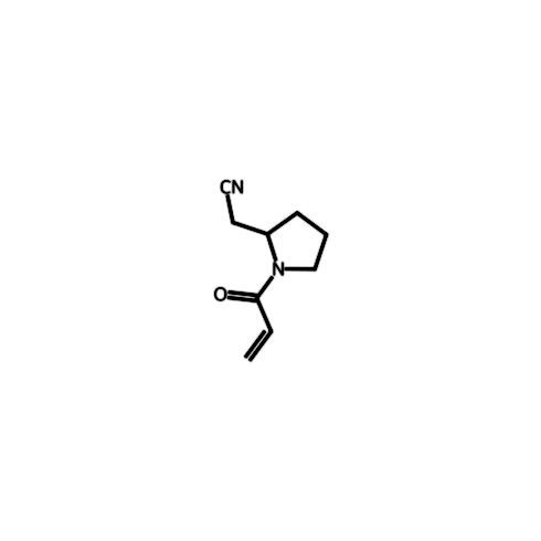 C=CC(=O)N1CCCC1CC#N